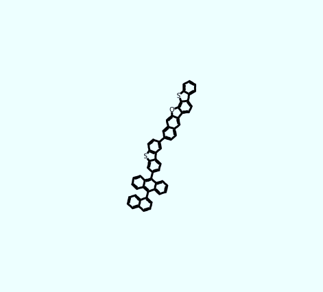 c1ccc2c(-c3c4ccccc4c(-c4ccc5c(c4)sc4ccc(-c6ccc7cc8c(cc7c6)oc6c8ccc7c8ccccc8sc76)cc45)c4ccccc34)cccc2c1